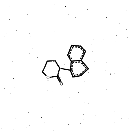 O=C1OCCCC1c1cccc2ccccc12